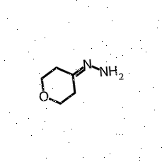 NN=C1CCOCC1